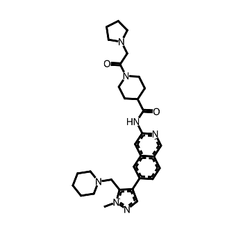 Cn1ncc(-c2ccc3cnc(NC(=O)C4CCN(C(=O)CN5CCCC5)CC4)cc3c2)c1CN1CCCCC1